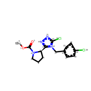 CC(C)(C)OC(=O)N1CCC[C@@H]1c1nnc(Cl)n1Cc1ccc(Cl)cc1